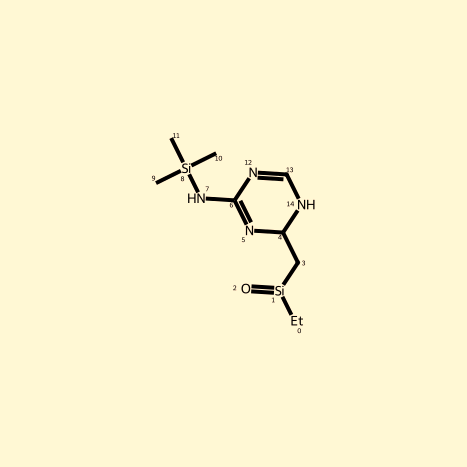 CC[Si](=O)CC1N=C(N[Si](C)(C)C)N=CN1